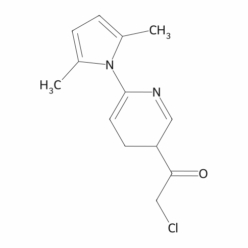 Cc1ccc(C)n1C1=CCC(C(=O)CCl)C=N1